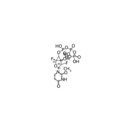 C[C@]1(F)[C@H](n2ccc(=O)[nH]c2=O)O[C@]2(F)C(OP(=O)(O)OP(=O)(O)OP(=O)(O)O)[C@]12O